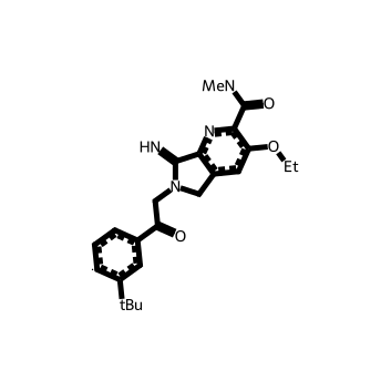 CCOc1cc2c(nc1C(=O)NC)C(=N)N(CC(=O)c1cc[c]c(C(C)(C)C)c1)C2